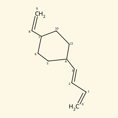 C=CC=CC1CCC(C=C)CC1